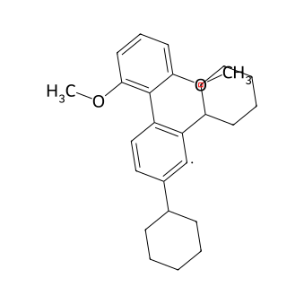 COc1cccc(OC)c1-c1ccc(C2CCCCC2)[c]c1C1CCCCC1